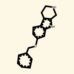 c1ccc(COc2ccc3c4c([nH]c3c2)CNCC4)cc1